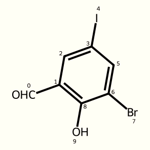 O=Cc1cc(I)cc(Br)c1O